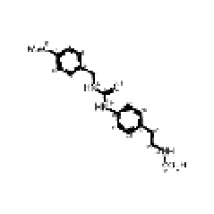 COc1ccc(CNC(=O)Nc2ccc(CCNC(=O)O)cc2)cc1